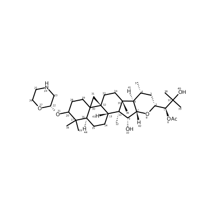 CC(=O)O[C@@H]([C@H]1C[C@@H](C)[C@H]2[C@H](O1)[C@H](O)[C@@]1(C)[C@@H]3CC[C@H]4C(C)(C)C(O[C@H]5CNCCO5)CCC45C[C@@]35CC[C@]21C)C(C)(C)O